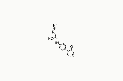 [N-]=[N+]=NC[C@H](O)CNc1ccc(N2CCOCC2=O)cc1